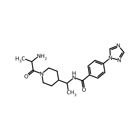 CC(N)C(=O)N1CCC(C(C)NC(=O)c2ccc(-n3cncn3)cc2)CC1